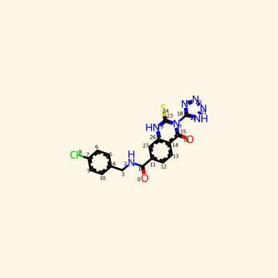 O=C(NCc1ccc(Cl)cc1)c1ccc2c(=O)n(-c3nnn[nH]3)c(=S)[nH]c2c1